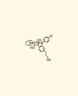 Cc1c(C(O)CN2C3CCC2CC(O)C3)c2ccc(CCCC#N)cc2n1-c1ccc(Cl)cc1